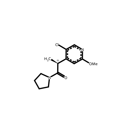 COc1cc([C@H](C)C(=O)N2CCCC2)c(Cl)cn1